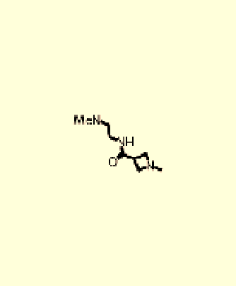 CNCCNC(=O)C1CN(C)C1